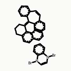 BrN1C=CN(Br)c2ccccc21.C1=Cc2ccccc2C(=C2CCCc3ccc4ccccc4c32)c2ccccc21